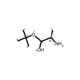 C[C@@H](N)C(O)OC(C)(C)C